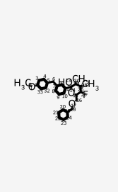 COc1ccc(Cc2cccc(C3(O)OC(COCc4ccccc4)C(F)C(C)C3C)c2)cc1